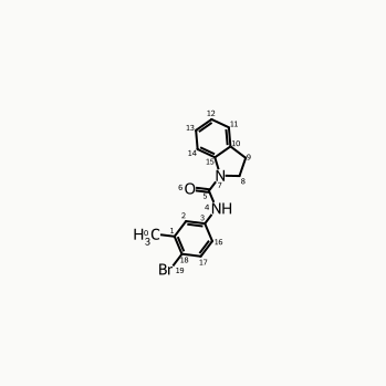 Cc1cc(NC(=O)N2CCc3ccccc32)ccc1Br